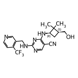 CC1(C)[C@@H](CO)C[C@H]1Nc1nc(NCc2cnccc2C(F)(F)F)ncc1C#N